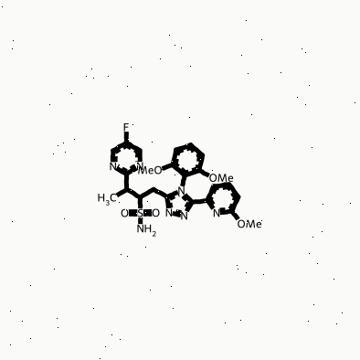 COc1cccc(-c2nnc(CC(C(C)c3ncc(F)cn3)S(N)(=O)=O)n2-c2c(OC)cccc2OC)n1